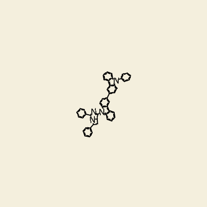 c1ccc(C2CC3C(n4c5ccccc5c5cc(-c6ccc7c(c6)c6ccccc6n7-c6ccccc6)ccc54)=NC(c4ccccc4)N32)cc1